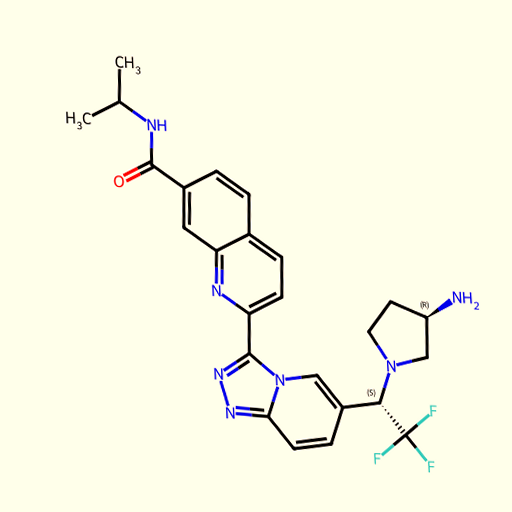 CC(C)NC(=O)c1ccc2ccc(-c3nnc4ccc([C@H](N5CC[C@@H](N)C5)C(F)(F)F)cn34)nc2c1